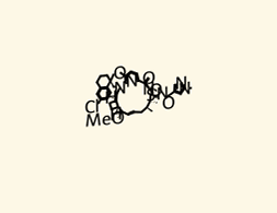 CO[C@H]1/C=C/C[C@H](C)[C@@H](C)S(=O)(C=NC(=O)c2cnn(C)c2)=NC(=O)c2ccc3c(n2)N(C[C@@H]2CC[C@H]21)C[C@@]1(CCCc2cc(Cl)ccc21)CO3